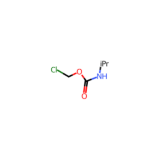 CC(C)NC(=O)OCCl